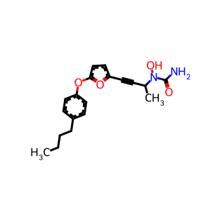 CCCCc1ccc(Oc2ccc(C#CC(C)N(O)C(N)=O)o2)cc1